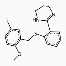 COc1ccc(I)cc1CSc1ccccc1C1=NCCCN1